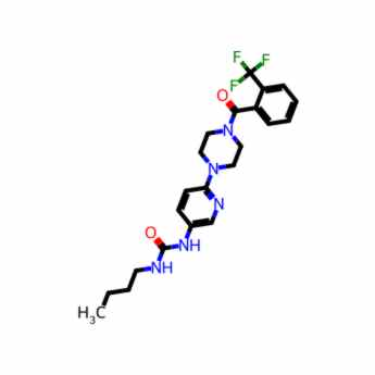 CCCCNC(=O)Nc1ccc(N2CCN(C(=O)c3ccccc3C(F)(F)F)CC2)nc1